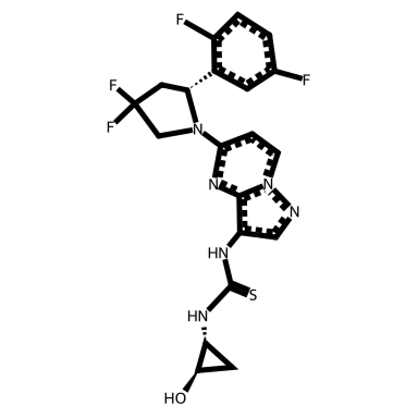 O[C@@H]1C[C@H]1NC(=S)Nc1cnn2ccc(N3CC(F)(F)C[C@@H]3c3cc(F)ccc3F)nc12